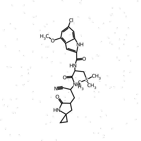 COc1cc(Cl)cc2[nH]c(C(=O)NC(CS(C)(C)C)C(=O)NC(C#N)CC3CC4(CC4)NC3=O)cc12